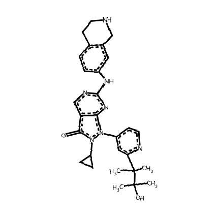 CC(C)(O)C(C)(C)c1cc(-n2c3nc(Nc4ccc5c(c4)CNCC5)ncc3c(=O)n2C2CC2)ccn1